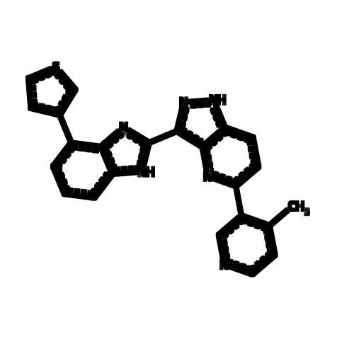 Cc1ccncc1-c1ccc2[nH]nc(-c3nc4c(-c5ccsc5)cccc4[nH]3)c2n1